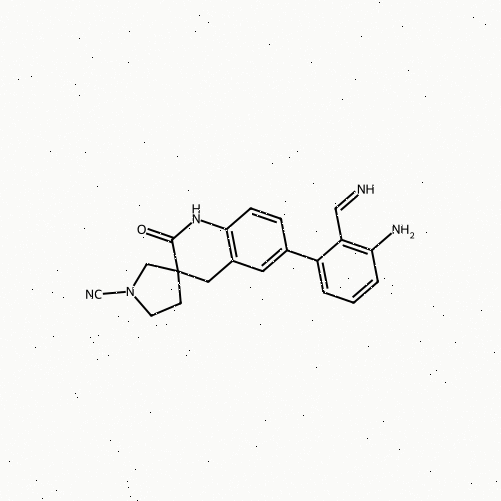 N#CN1CCC2(Cc3cc(-c4cccc(N)c4C=N)ccc3NC2=O)C1